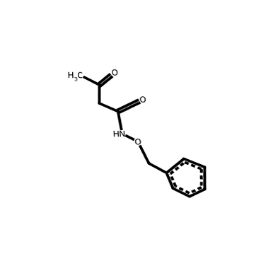 CC(=O)CC(=O)NOCc1ccccc1